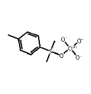 Cc1ccc(S(C)(C)O[Cl+3]([O-])([O-])[O-])cc1